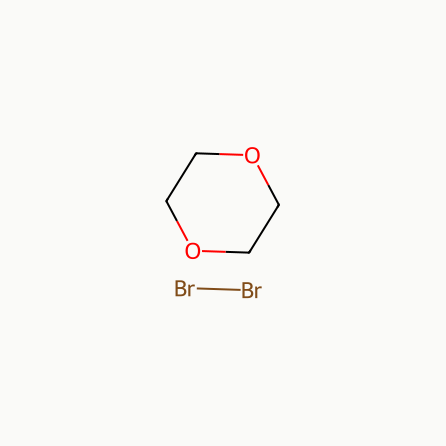 BrBr.C1COCCO1